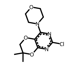 CC1(C)COc2c(nc(Cl)nc2N2CCOCC2)O1